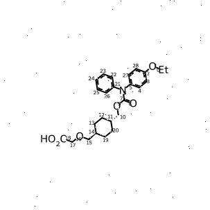 CCOc1ccc(N(C(=O)OC[C@H]2CC[C@H](COCC(=O)O)CC2)c2ccccc2)cc1